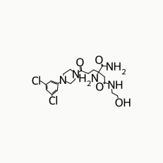 NC(=O)C(N)(CCC(=O)N1CCN(c2cc(Cl)cc(Cl)c2)CC1)CC(=O)NCCO